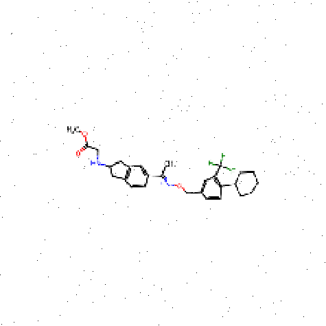 COC(=O)CNC1Cc2ccc(/C(C)=N/OCc3ccc(C4CCCCC4)c(C(F)(F)F)c3)cc2C1